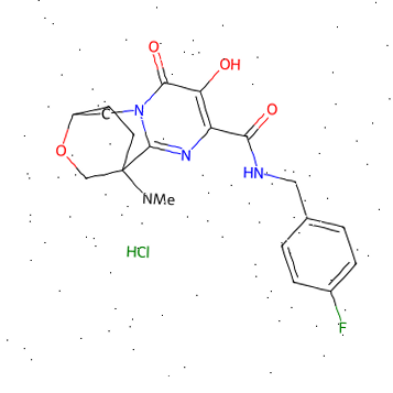 CNC12CCC(Cn3c1nc(C(=O)NCc1ccc(F)cc1)c(O)c3=O)OC2.Cl